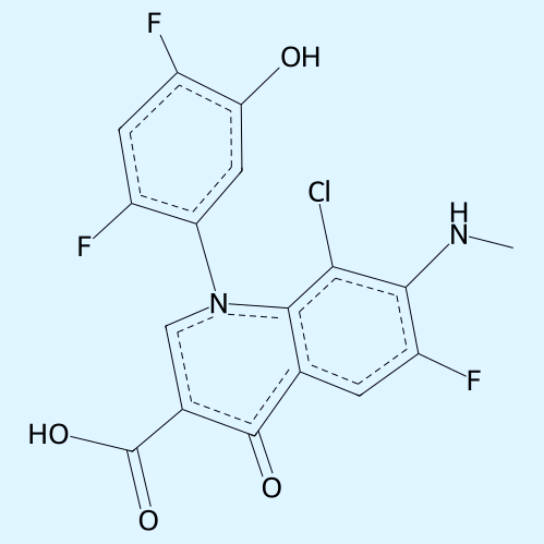 CNc1c(F)cc2c(=O)c(C(=O)O)cn(-c3cc(O)c(F)cc3F)c2c1Cl